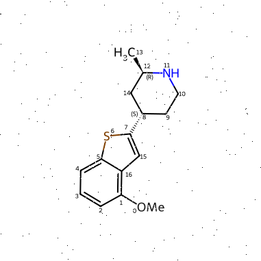 COc1cccc2sc([C@H]3CCN[C@H](C)C3)cc12